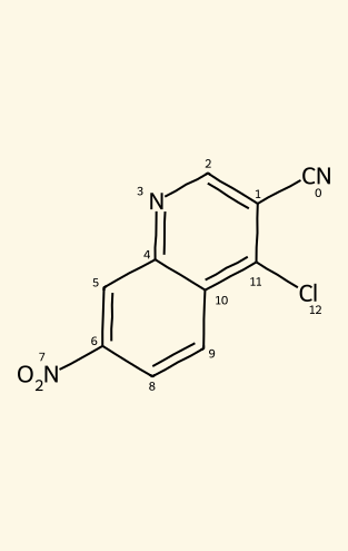 N#Cc1cnc2cc([N+](=O)[O-])ccc2c1Cl